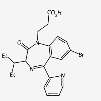 CCC(CC)C1N=C(c2ccccn2)c2cc(Br)ccc2N(CCC(=O)O)C1=O